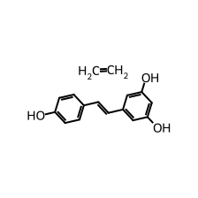 C=C.Oc1ccc(C=Cc2cc(O)cc(O)c2)cc1